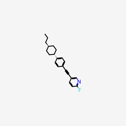 CCC[C@H]1CC[C@H](c2ccc(C#Cc3ccc(F)nc3)cc2)CC1